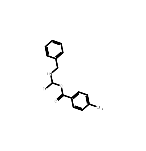 CCC(NCc1ccccc1)OC(=O)c1ccc(C)cc1